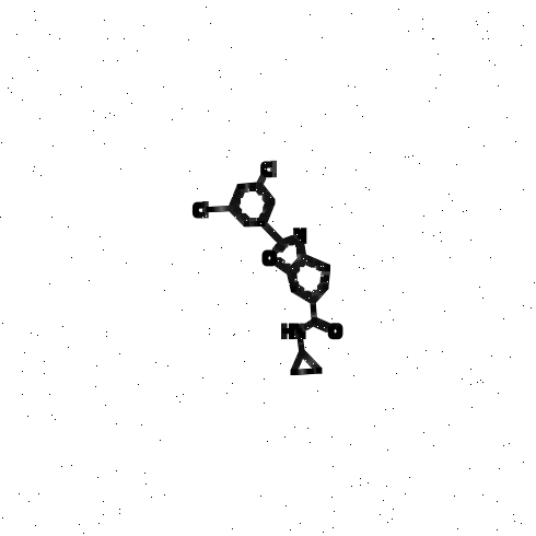 O=C(NC1CC1)c1ccc2nc(-c3cc(Cl)cc(Cl)c3)oc2c1